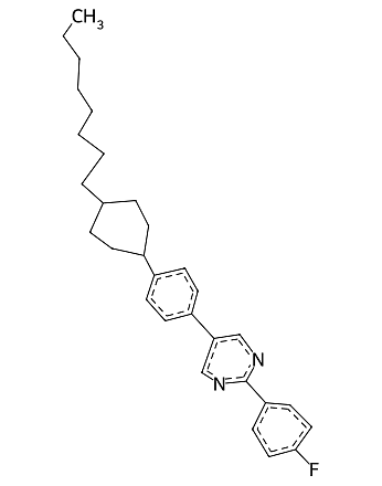 CCCCCCCCC1CCC(c2ccc(-c3cnc(-c4ccc(F)cc4)nc3)cc2)CC1